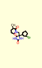 Cc1cccn(CC2(c3cccc(Br)c3)NC(=O)NC2=O)c1=O